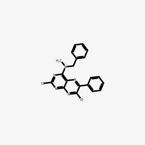 CN(Cc1ccccc1)c1nc(Cl)nc2nc(Cl)c(-c3ccccc3)nc12